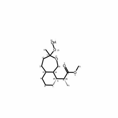 COC(=O)[C@H](C)[C@@H]1CCCC2CCC(C)(OO)OCC21